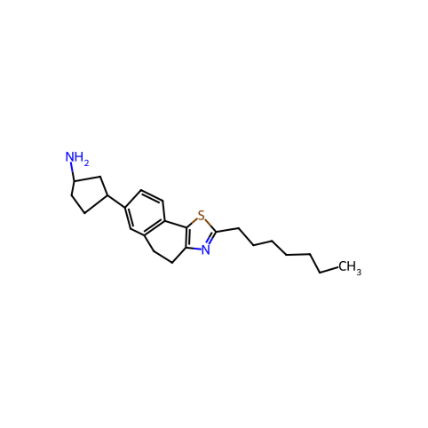 CCCCCCCc1nc2c(s1)-c1ccc(C3CCC(N)C3)cc1CC2